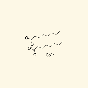 CCCCCCCC(=O)[O-].CCCCCCCC(=O)[O-].[Co+2]